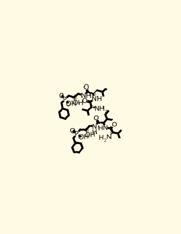 CC(C)C[C@@H](NC(=O)[C@@H](N)C(C)C)C(=O)NC[C@H](O)CP(=O)(O)CC1CCCCC1.CCC(C)C(NC(=O)[C@@H](N)C(C)C)C(=O)NC[C@H](O)CP(=O)(O)CC1CCCCC1